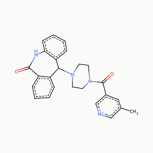 Cc1cncc(C(=O)N2CCN(C3c4ccccc4NC(=O)c4ccccc43)CC2)c1